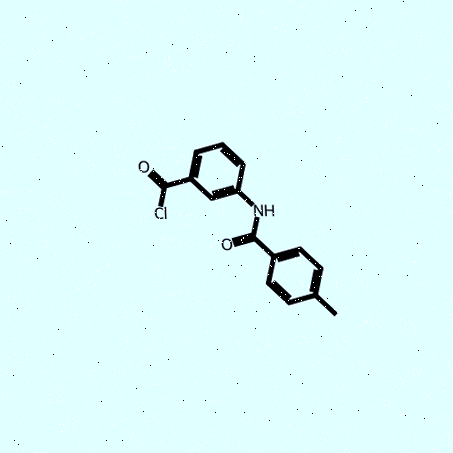 Cc1ccc(C(=O)Nc2cccc(C(=O)Cl)c2)cc1